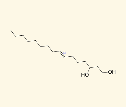 CCCCCCCC/C=C/CCCC(O)CCO